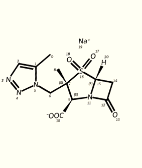 Cc1cnnn1C[C@@]1(C)[C@H](C(=O)[O-])N2C(=O)C[C@H]2S1(=O)=O.[Na+]